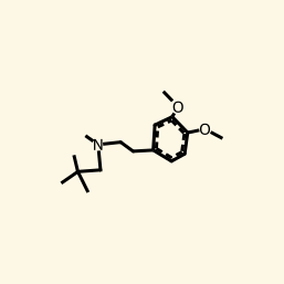 COc1ccc(CCN(C)CC(C)(C)C)cc1OC